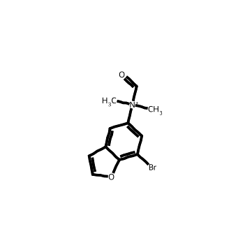 C[N+](C)(C=O)c1cc(Br)c2occc2c1